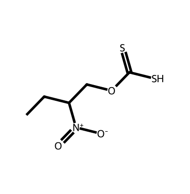 CCC(COC(=S)S)[N+](=O)[O-]